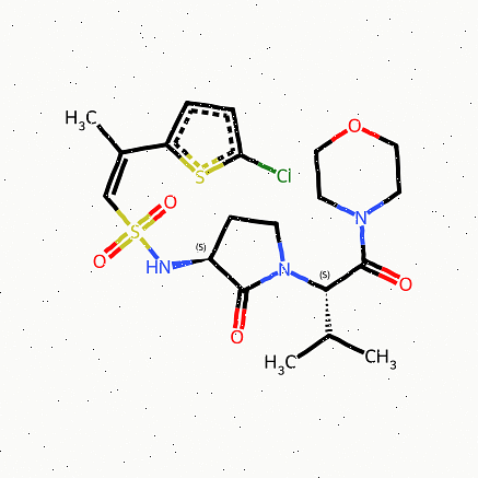 CC(=CS(=O)(=O)N[C@H]1CCN([C@H](C(=O)N2CCOCC2)C(C)C)C1=O)c1ccc(Cl)s1